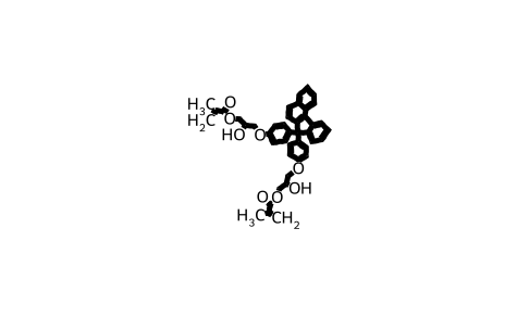 C=C(C)C(=O)OCC(O)COc1ccc(C2(c3ccc(OCC(O)COC(=O)C(=C)C)cc3)c3ccccc3-c3c2ccc2ccccc32)cc1